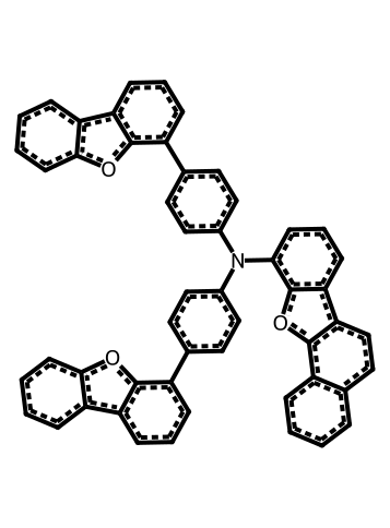 c1ccc2c(c1)ccc1c3cccc(N(c4ccc(-c5cccc6c5oc5ccccc56)cc4)c4ccc(-c5cccc6c5oc5ccccc56)cc4)c3oc21